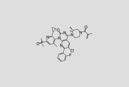 C=C(C)C(=O)N1CCN(c2nc(=O)n(-c3c(C)cc(P(C)(C)=O)nc3C3CC3)c3nc(-c4ccccc4F)c(Cl)cc23)[C@@H](C)C1